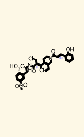 C=CC1=C(/C(Cl)=C(\CCl)C(=O)N[C@@H](Cc2cccc(S(C)(=O)=O)c2)C(=O)O)CCN(C(=O)/C=C/c2ccccc2O)C1